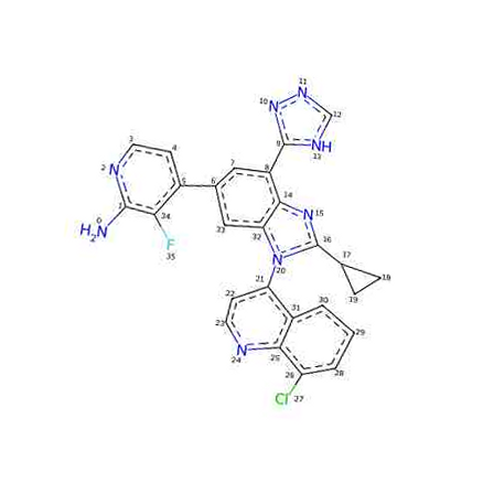 Nc1nccc(-c2cc(-c3nnc[nH]3)c3nc(C4CC4)n(-c4ccnc5c(Cl)cccc45)c3c2)c1F